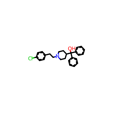 OC(c1ccccc1)(c1ccccc1)C1CCN(CCc2ccc(Cl)cc2)CC1